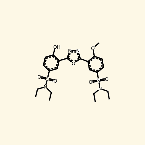 CCN(CC)S(=O)(=O)c1ccc(O)c(-c2nnc(-c3cc(S(=O)(=O)N(CC)CC)ccc3OC)o2)c1